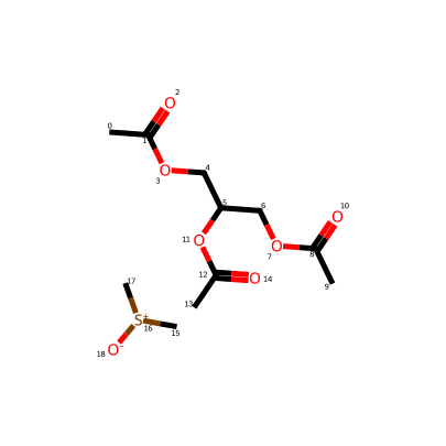 CC(=O)OCC(COC(C)=O)OC(C)=O.C[S+](C)[O-]